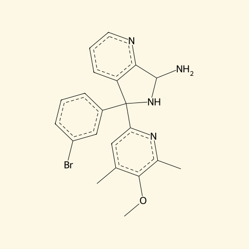 COc1c(C)cc(C2(c3cccc(Br)c3)NC(N)c3ncccc32)nc1C